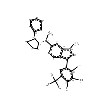 CN(c1ncc2c(-c3cc(C(F)(F)F)c(F)c(O)c3F)nn(C)c2n1)[C@@H]1CCC[C@H]1c1ccccc1